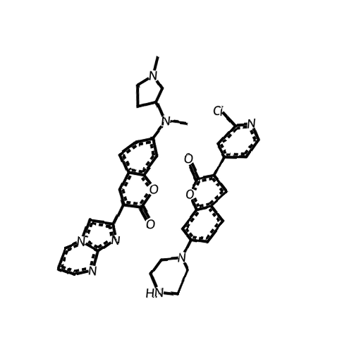 CN1CCC(N(C)c2ccc3cc(-c4cn5cccnc5n4)c(=O)oc3c2)C1.O=c1oc2cc(N3CCNCC3)ccc2cc1-c1ccnc(Cl)c1